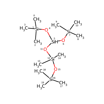 C[Si](C)(C)O[SiH](O[Si](C)(C)C)O[Si](C)(C)O[Si](C)(C)C